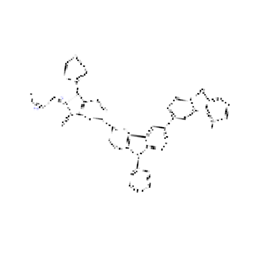 C=c1/c(=C\C=C/C)n(-c2ccccc2)c2ccc(-c3ccc4c(c3)c3cc(-c5ccc6oc7cccc(C)c7c6c5)ccc3n4-c3ccccc3)cc12